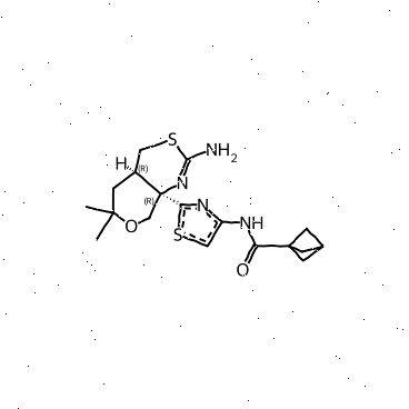 CC1(C)C[C@H]2CSC(N)=N[C@@]2(c2nc(NC(=O)C34CC(C3)C4)cs2)CO1